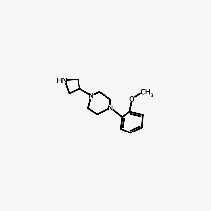 COc1ccccc1N1CCN(C2CNC2)CC1